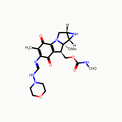 CO[C@]12[C@@H](COC(=O)NC=O)C3=C(C(=O)C(C)=C(N=CNN4CCOCC4)C3=O)N1C[C@@H]1N[C@@H]12